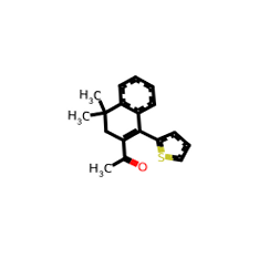 CC(=O)C1=C(c2cccs2)c2ccccc2C(C)(C)C1